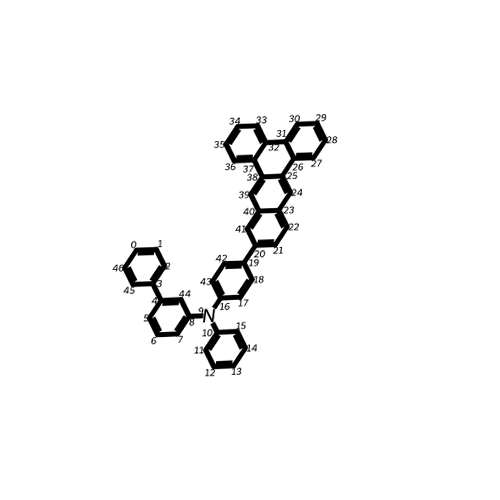 c1ccc(-c2cccc(N(c3ccccc3)c3ccc(-c4ccc5cc6c7ccccc7c7ccccc7c6cc5c4)cc3)c2)cc1